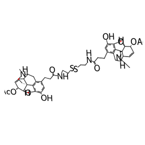 CC(=O)O[C@H]1C=CC2[C@H]3Cc4c(CCC(=O)NCCSSCCNC(=O)CCc5cc(O)c6c7c5C[C@H]5C8C=C[C@@H](OC(C)=O)[C@@H](O6)[C@@]78CCN5C)cc(O)c5c4[C@@]2(CCN3C)[C@H]1O5